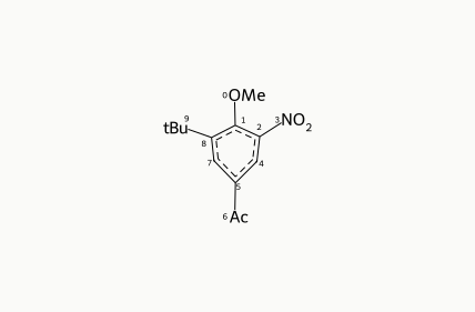 COc1c([N+](=O)[O-])cc(C(C)=O)cc1C(C)(C)C